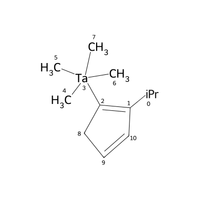 CC(C)C1=[C]([Ta]([CH3])([CH3])([CH3])[CH3])CC=C1